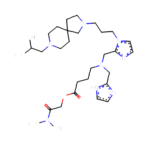 CC(C)CN1CCC2(CC1)CCN(CCCn1ccnc1CN(CCCC(=O)OCC(=O)N(C)C)Cc1ncc[nH]1)C2